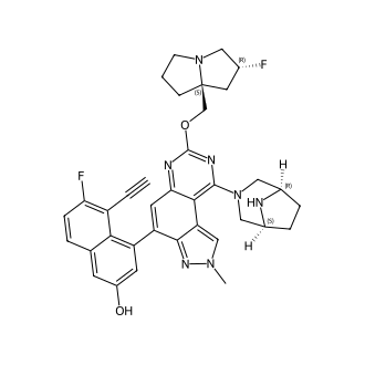 C#Cc1c(F)ccc2cc(O)cc(-c3cc4nc(OC[C@@]56CCCN5C[C@H](F)C6)nc(N5C[C@H]6CC[C@@H](C5)N6)c4c4cn(C)nc34)c12